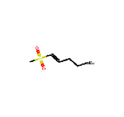 CCCCCCC=CS(C)(=O)=O